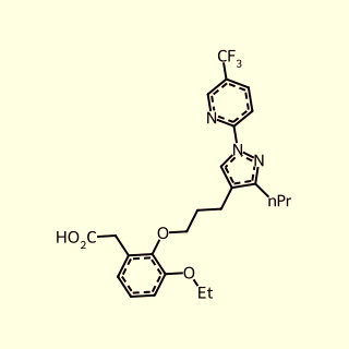 CCCc1nn(-c2ccc(C(F)(F)F)cn2)cc1CCCOc1c(CC(=O)O)cccc1OCC